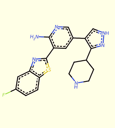 Nc1ncc(-c2c[nH]nc2C2CCNCC2)cc1-c1nc2cc(F)ccc2s1